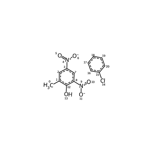 Cc1cc([N+](=O)[O-])cc([N+](=O)[O-])c1O.Clc1ccccc1